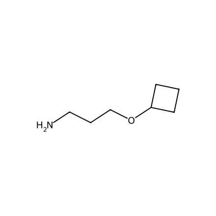 NCCCOC1CCC1